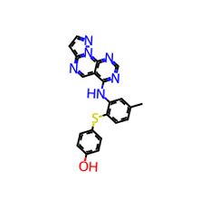 Cc1ccc(Sc2ccc(O)cc2)c(Nc2ncnc3c2cnc2ccnn23)c1